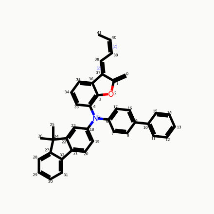 C=c1oc2c(N(c3ccc(-c4ccccc4)cc3)c3ccc4c(c3)C(C)(C)c3ccccc3-4)cccc2/c1=C/C=C\C